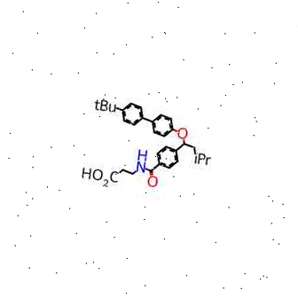 CC(C)CC(Oc1ccc(-c2ccc(C(C)(C)C)cc2)cc1)c1ccc(C(=O)NCCC(=O)O)cc1